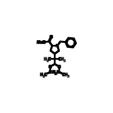 COC(=O)C1CC(C(C)(C)C(O[SiH2]C)O[SiH2]C)CN1Cc1ccccc1